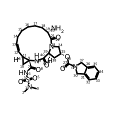 CN(C)S(=O)(=O)NC(=O)[C@@]12C[C@H]1/C=C\CCCCC[C@H](N)C(=O)N1C[C@H](OC(=O)N3Cc4ccccc4C3)C[C@H]1C(=O)N2